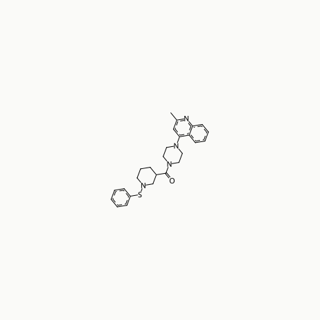 Cc1cc(N2CCN(C(=O)C3CCCN(Sc4ccccc4)C3)CC2)c2ccccc2n1